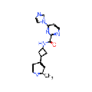 O=C(NC1CC(c2ccnc(C(F)(F)F)c2)C1)c1nccc(-n2ccnc2)n1